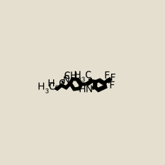 CCCCC1(N(C)C)CC=C(c2[nH]c3ccc(C(F)(F)F)cc3c2C)CC1